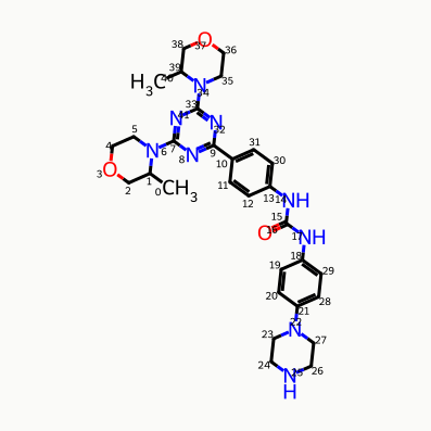 CC1COCCN1c1nc(-c2ccc(NC(=O)Nc3ccc(N4CCNCC4)cc3)cc2)nc(N2CCOCC2C)n1